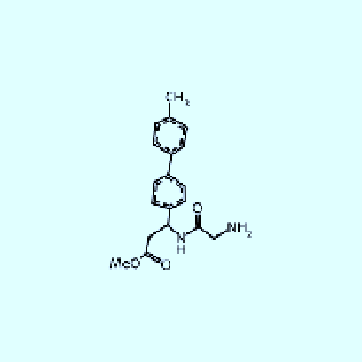 COC(=O)CC(NC(=O)CN)c1ccc(-c2ccc(C)cc2)cc1